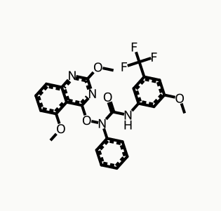 COc1cc(NC(=O)N(Oc2nc(OC)nc3cccc(OC)c23)c2ccccc2)cc(C(F)(F)F)c1